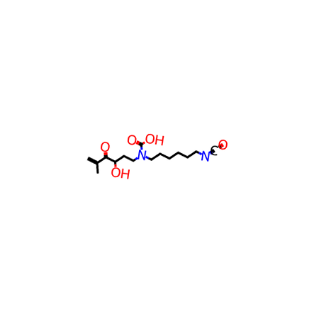 C=C(C)C(=O)C(O)CCN(CCCCCCN=C=O)C(=O)O